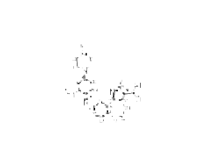 COc1cc(N2CCN(C)CC2)ccc1Nc1ncc2c(n1)-c1nn(C)c(C(N)=O)c1CCC2